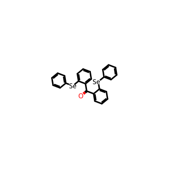 O=C(c1ccccc1[Se]c1ccccc1)c1ccccc1[Se]c1ccccc1